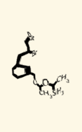 CC([SiH3])OC(C)OCc1cccc(CC(Br)CBr)c1